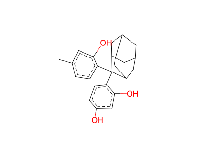 Cc1ccc(C2(c3ccc(O)cc3O)C3CC4CC(C3)CC2C4)c(O)c1